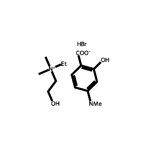 Br.CC[N+](C)(C)CCO.CNc1ccc(C(=O)[O-])c(O)c1